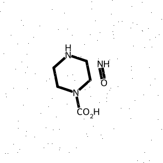 N=O.O=C(O)N1CCNCC1